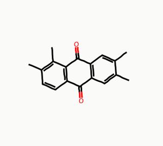 Cc1cc2c(cc1C)C(=O)c1c(ccc(C)c1C)C2=O